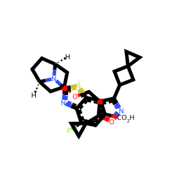 O=C(O)c1cc(F)c2nc(N3[C@@H]4CC[C@H]3C[C@H](OCc3c(C5CC6(CC6)C5)noc3C3CC3)C4)sc2c1